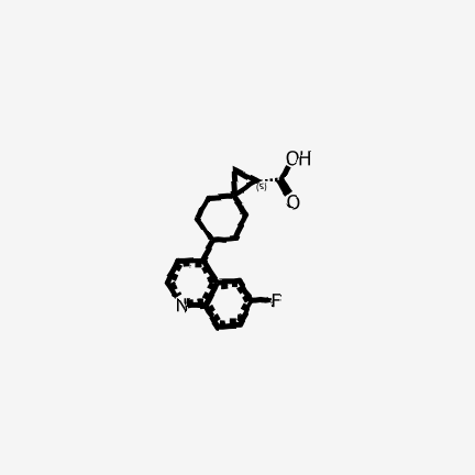 O=C(O)[C@H]1CC12CCC(c1ccnc3ccc(F)cc13)CC2